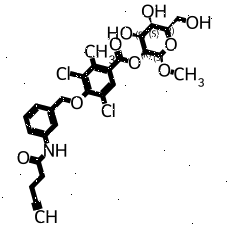 C#CCCC(=O)Nc1cccc(COc2c(Cl)cc(C(=O)O[C@H]3[C@@H](OC)O[C@H](CO)[C@@H](O)[C@@H]3O)c(C)c2Cl)c1